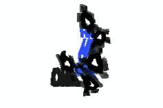 COc1ccccc1-n1c2cc(C)ccc2n2c3cccc(Nc4ccccc4Nc4ccccc4)c3nc12